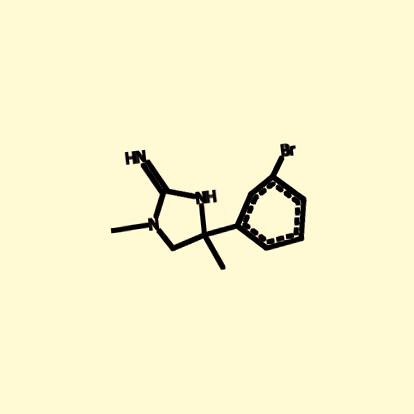 CN1CC(C)(c2cccc(Br)c2)NC1=N